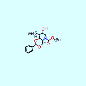 CS[C@@H]1[C@@H]2O[C@H](c3ccccc3)OC[C@H]2N(C(=O)OC(C)(C)C)C[C@H]1O